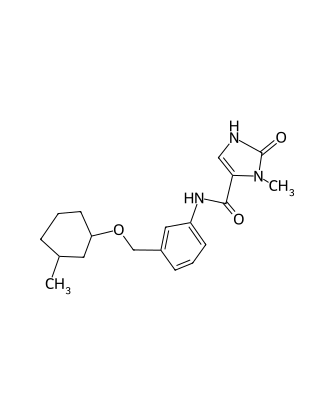 CC1CCCC(OCc2cccc(NC(=O)c3c[nH]c(=O)n3C)c2)C1